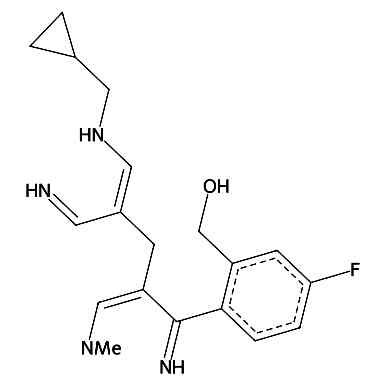 CN/C=C(/C/C(C=N)=C/NCC1CC1)C(=N)c1ccc(F)cc1CO